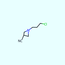 N#CC1CN(CCCCl)C1